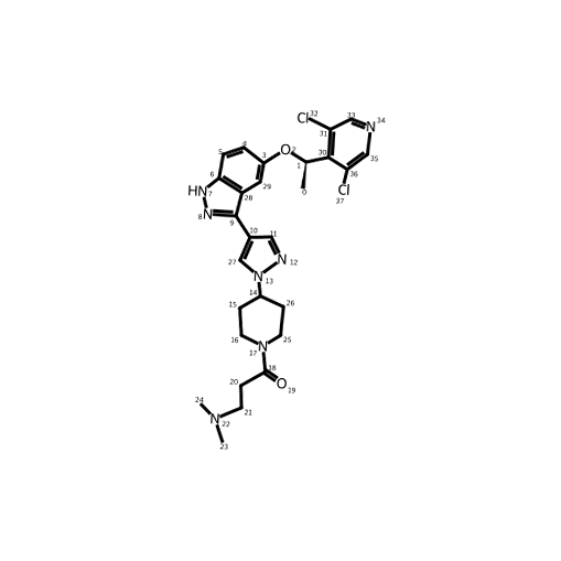 C[C@@H](Oc1ccc2[nH]nc(-c3cnn(C4CCN(C(=O)CCN(C)C)CC4)c3)c2c1)c1c(Cl)cncc1Cl